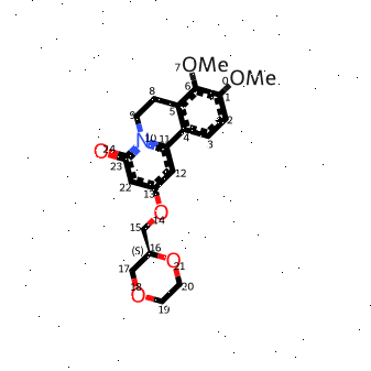 COc1ccc2c(c1OC)CCn1c-2cc(OC[C@@H]2COCCO2)cc1=O